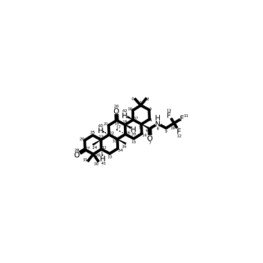 CC1(C)CC[C@]2(C(=O)NCC(F)(F)F)CC[C@]3(C)[C@H](C(=O)C[C@@H]4[C@@]5(C)CCC(=O)C(C)(C)[C@@H]5CC[C@]43C)[C@@H]2C1